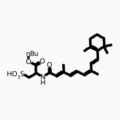 CCCCOC(=O)C(CS(=O)(=O)O)NC(=O)/C=C(C)/C=C/C=C(C)\C=C\C1=C(C)CCCC1(C)C